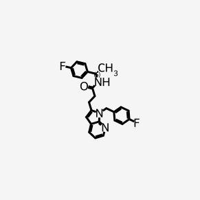 C[C@H](NC(=O)CCc1cc2cccnc2n1Cc1ccc(F)cc1)c1ccc(F)cc1